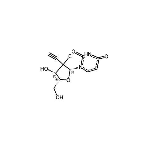 C#CC1(Cl)[C@@H](O)[C@@H](CO)O[C@H]1n1ccc(=O)[nH]c1=O